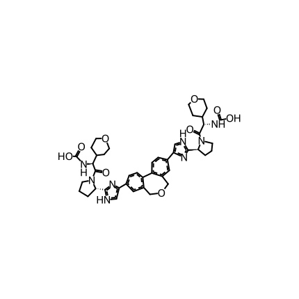 O=C(O)N[C@H](C(=O)N1CCC[C@H]1c1nc(-c2ccc3c(c2)COCc2cc(-c4c[nH]c([C@@H]5CCCN5C(=O)[C@@H](NC(=O)O)C5CCOCC5)n4)ccc2-3)c[nH]1)C1CCOCC1